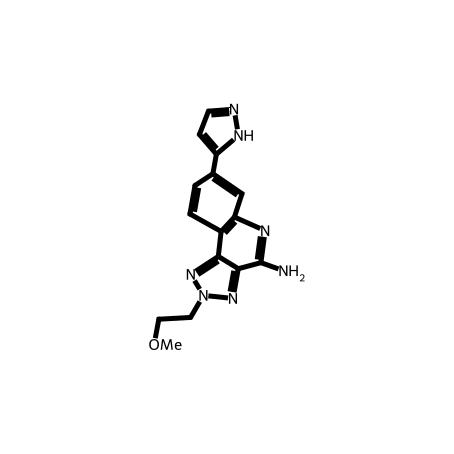 COCCn1nc2c(N)nc3cc(-c4ccn[nH]4)ccc3c2n1